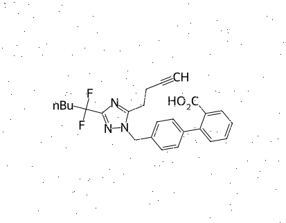 C#CCCc1nc(C(F)(F)CCCC)nn1Cc1ccc(-c2ccccc2C(=O)O)cc1